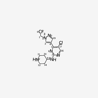 FC(F)(F)Cn1cc(-c2nc(NC3CCNCC3)ncc2Cl)cn1